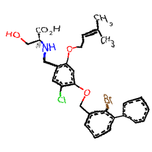 CC(C)=CCOc1cc(OCc2cccc(-c3ccccc3)c2Br)c(Cl)cc1CN[C@@H](CO)C(=O)O